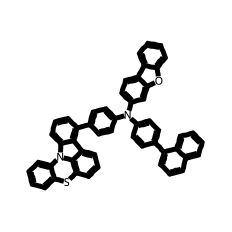 c1ccc2c(c1)Sc1cccc3c4c(-c5ccc(N(c6ccc(-c7cccc8ccccc78)cc6)c6ccc7c(c6)oc6ccccc67)cc5)cccc4n-2c13